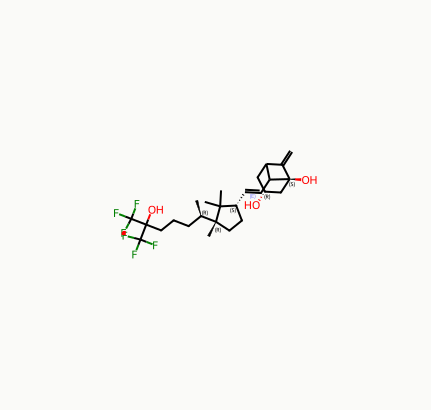 C=C1C2C[C@@H](O)C[C@]1(O)C2/C=C/[C@@H]1CC[C@](C)([C@H](C)CCCC(O)(C(F)(F)F)C(F)(F)F)C1(C)C